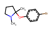 CN1CCCC1(C)Oc1ccc(Br)cc1